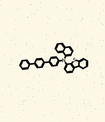 C1=CCC2C(=C1)Sc1c2cccc1N(c1ccc(-c2ccc(-c3ccccc3)cc2)cc1)c1cccc2ccccc12